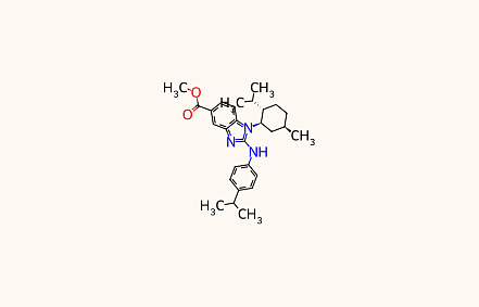 COC(=O)c1ccc2c(c1)nc(Nc1ccc(C(C)C)cc1)n2[C@@H]1C[C@H](C)CC[C@H]1C(C)C